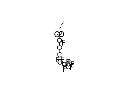 CCCCCC1COC(c2ccc(C3CCC(C4CCC(C(F)(F)Oc5cc(F)c(OC(F)(F)F)c(F)c5)CC4)CC3)c(F)c2)OC1